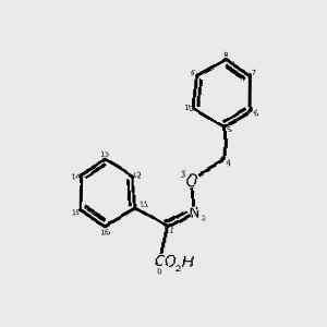 O=C(O)C(=NOCc1ccccc1)c1ccccc1